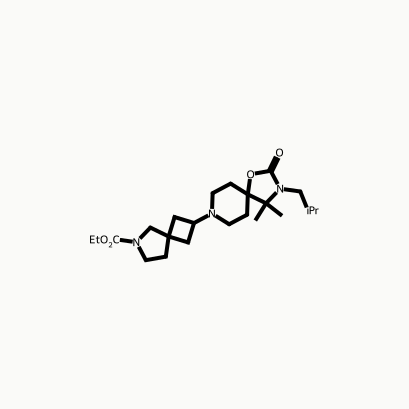 CCOC(=O)N1CCC2(CC(N3CCC4(CC3)OC(=O)N(CC(C)C)C4(C)C)C2)C1